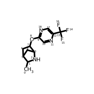 CC1NC2CC1CC2Oc1cnc(C(F)(F)F)cn1